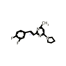 Cc1cc(N2CCCC2)nc(/C=C/c2ccc(F)c(F)c2)n1